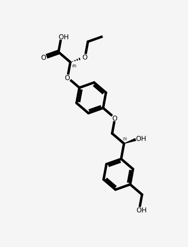 CCO[C@H](Oc1ccc(OC[C@@H](O)c2cccc(CO)c2)cc1)C(=O)O